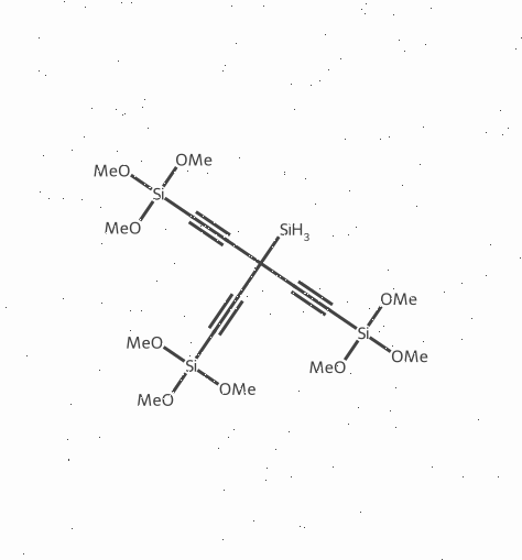 CO[Si](C#CC([SiH3])(C#C[Si](OC)(OC)OC)C#C[Si](OC)(OC)OC)(OC)OC